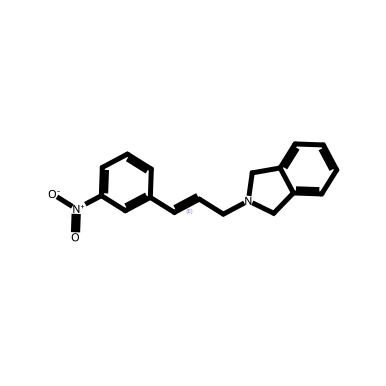 O=[N+]([O-])c1cccc(/C=C/CN2Cc3ccccc3C2)c1